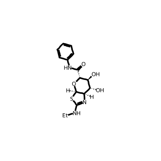 CCNC1=N[C@@H]2[C@@H](O)[C@H](O)[C@@H](C(=O)Nc3ccccc3)O[C@@H]2S1